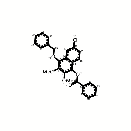 COc1c(OC)c(OC(=O)c2ccccc2)c2ccc(Cl)cc2c1OCc1ccccc1